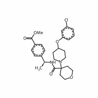 COC(=O)c1ccc([C@H](C)NC(=O)C2(N3CCC(Oc4cccc(Cl)c4)CC3)CCOCC2)cc1